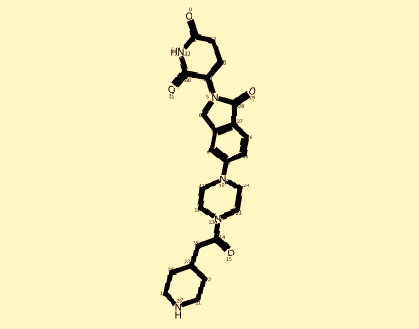 O=C1CCC(N2Cc3cc(N4CCN(C(=O)CC5CCNCC5)CC4)ccc3C2=O)C(=O)N1